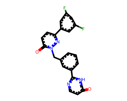 O=c1ccnc(-c2cccc(Cn3nc(-c4cc(F)cc(F)c4)ccc3=O)c2)[nH]1